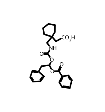 O=C(O)CC1(CNC(=O)OC(Cc2ccccc2)OC(=O)c2ccccc2)CCCCC1